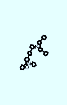 c1ccc(-c2ccc3c(c2)c2cc(-c4ccccc4)ccc2n3-c2cccc(-c3ccc(-c4ccc5c6c7ccccc7oc6n(-c6ccccc6)c5c4)cc3)c2)cc1